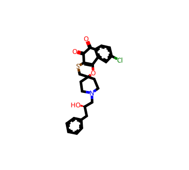 O=C1C(=O)c2ccc(Cl)cc2C2=C1SCC1(CCN(C[C@H](O)Cc3ccccc3)CC1)O2